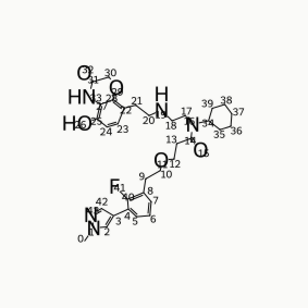 Cn1cc(-c2cccc(CCOCCC(=O)N(CCNCCc3ccc(O)c4c3OCC(=O)N4)C3CCCCC3)c2F)cn1